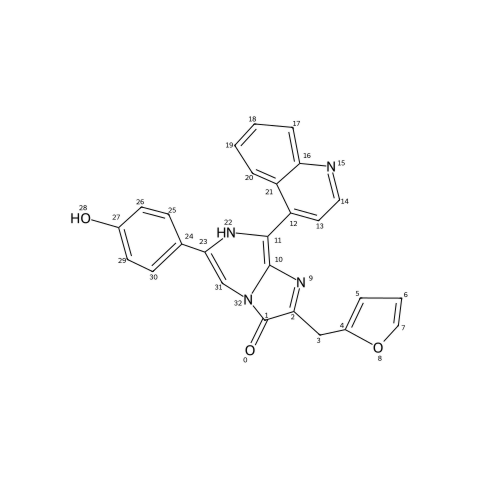 O=c1c(Cc2ccco2)nc2c(-c3ccnc4ccccc34)[nH]c(-c3ccc(O)cc3)cn1-2